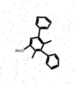 COc1cc(-c2ccccc2)c(C)c(-c2ccccc2)c1C